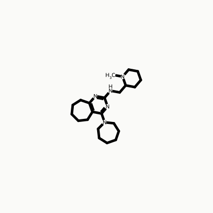 CN1CCCCC1CNc1nc2c(c(N3CCCCCC3)n1)CCCCC2